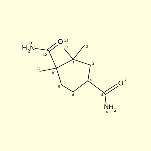 CC1(C)CC(C(N)=O)CCC1(C)C(N)=O